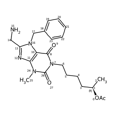 CC(=O)O[C@H](C)CCCCn1c(=O)c2c(nc(CN)n2Cc2ccccc2)n(C)c1=O